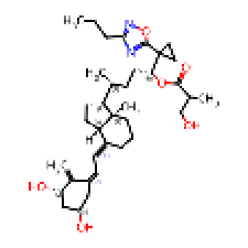 C=C1/C(=C\C=C2/CCC[C@]3(C)[C@@H]([C@H](C)CC[C@@H](OC(=O)C(C)CO)C4(c5nc(CCC)no5)CC4)CC[C@@H]23)C[C@@H](O)C[C@@H]1O